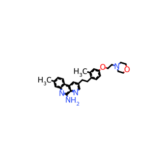 Cc1ccc2c(c1)nc(N)c1ncc(CCc3ccc(OCCN4CCOCC4)cc3C)cc12